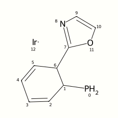 PC1C=CC=CC1c1ncco1.[Ir]